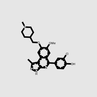 COc1cc2c(-c3ccc(O)c(Cl)c3)nc3[nH]nc(C)c3c2cc1OCC1CCN(C)CC1